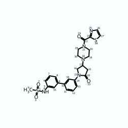 CS(=O)(=O)Nc1cccc(-c2cccc(N3CC(N4CCN(C(=O)c5nccs5)CC4)CC3=O)c2)c1